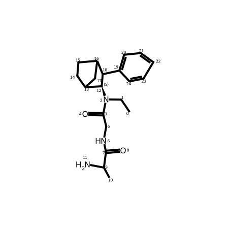 CCN(C(=O)CNC(=O)C(C)N)[C@H]1C2CCC(C2)C1c1ccccc1